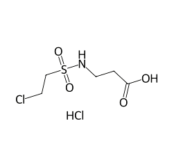 Cl.O=C(O)CCNS(=O)(=O)CCCl